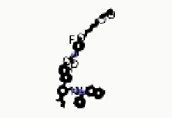 CCC(C)c1ccc(-c2ccc3c(F)c(OC(=O)/C=C/c4ccc(OCCCCCCOCC5CO5)c(F)c4)ccc3c2)c(/C=N/N=C(\c2ccccc2)c2ccc3ccccc3c2)c1